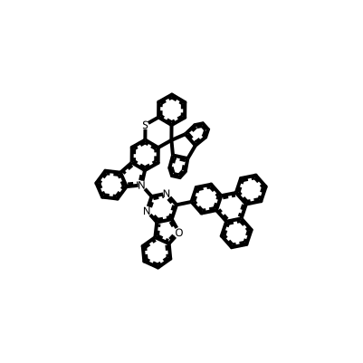 c1ccc2c(c1)Sc1cc3c4ccccc4n(-c4nc(-c5ccc6c7ccccc7c7ccccc7c6c5)c5oc6ccccc6c5n4)c3cc1C21c2ccccc2-c2ccccc21